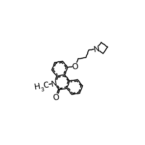 Cn1c(=O)c2ccccc2c2c(OCCCN3CCC3)cccc21